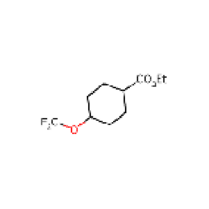 CCOC(=O)C1CCC(OC(F)(F)F)CC1